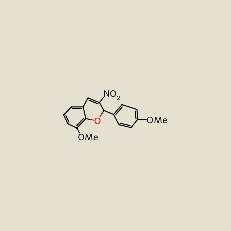 COc1ccc(C2Oc3c(cccc3OC)C=C2[N+](=O)[O-])cc1